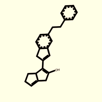 OC1=C(C2=Cc3cc(CCc4ccccc4)ccc3C2)C2CCC=C2C1